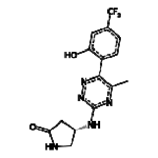 Cc1nc(N[C@@H]2CNC(=O)C2)nnc1-c1ccc(C(F)(F)F)cc1O